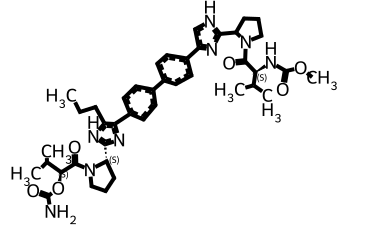 CCCc1[nH]c([C@@H]2CCCN2C(=O)[C@@H](OC(N)=O)C(C)C)nc1-c1ccc(-c2ccc(-c3c[nH]c(C4CCCN4C(=O)[C@@H](NC(=O)OC)C(C)C)n3)cc2)cc1